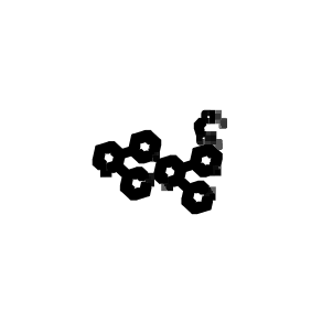 CCC.c1cncc(-c2cccnc2-c2cccnc2)c1.c1cncc(-c2cccnc2-c2cccnc2)c1